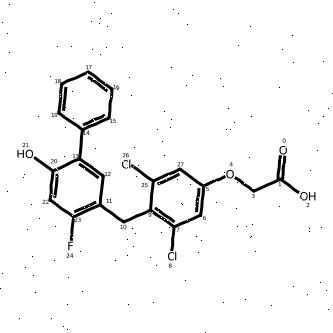 O=C(O)COc1cc(Cl)c(Cc2cc(-c3ccccc3)c(O)cc2F)c(Cl)c1